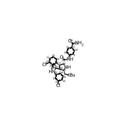 CC(C)(C)C[C@@H]1N[C@@H](C(=O)Nc2ccc(C(N)=O)cc2)[C@H](c2cccc(Cl)c2F)[C@]12C(=O)Nc1cc(Cl)ccc12